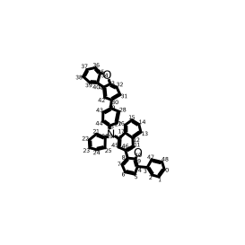 c1ccc(-c2cccc3c2oc2c4ccccc4c(N(c4ccccc4)c4ccc(-c5ccc6oc7ccccc7c6c5)cc4)cc32)cc1